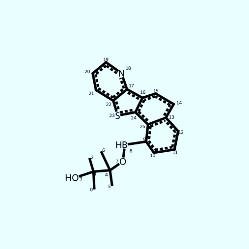 CC(C)(O)C(C)(C)OBc1cccc2ccc3c4ncccc4sc3c12